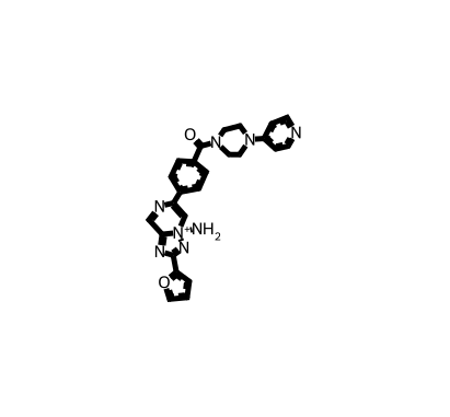 N[N+]12C=C(c3ccc(C(=O)N4CCN(c5ccncc5)CC4)cc3)N=CC1=NC(c1ccco1)=N2